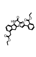 CCOC(=O)Cc1cccc2c1Cc1c-2[nH]c(=O)c2nc(-c3ccccc3C(=O)OCC)cn12